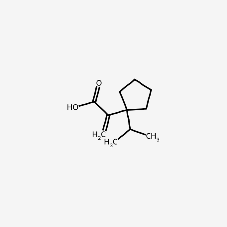 C=C(C(=O)O)C1(C(C)C)CCCC1